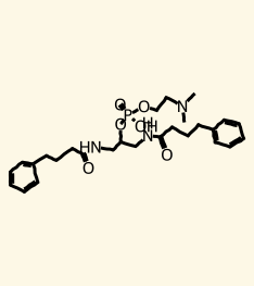 CN(C)CCOP(=O)(O)OC(CNC(=O)CCCc1ccccc1)CNC(=O)CCCc1ccccc1